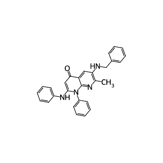 Cc1nc2c(cc1NCc1ccccc1)c(=O)cc(Nc1ccccc1)n2-c1ccccc1